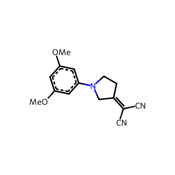 COc1cc(OC)cc(N2CCC(=C(C#N)C#N)C2)c1